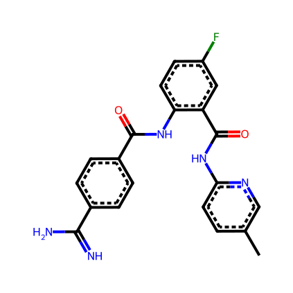 Cc1ccc(NC(=O)c2cc(F)ccc2NC(=O)c2ccc(C(=N)N)cc2)nc1